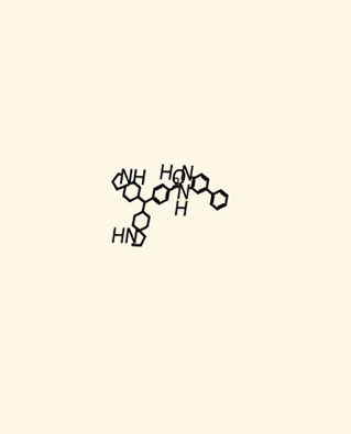 Nc1ccc(-c2ccccc2)cc1NC(=O)c1ccc(C(C2CCC3(CCCN3)CC2)C2CCC3(CCCN3)CC2)cc1